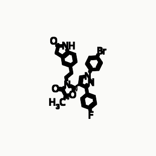 C[C@@H]1O[C@@H](c2cn(-c3ccc(Br)cc3)nc2-c2ccc(F)cc2)N(CCc2ccc3c(c2)CC(=O)N3)C1=O